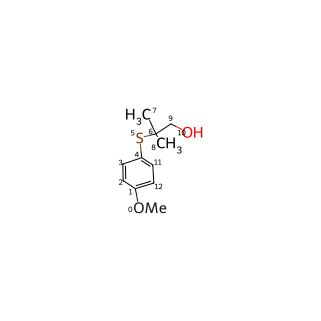 COc1ccc(SC(C)(C)CO)cc1